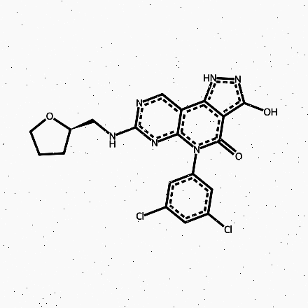 O=c1c2c(O)n[nH]c2c2cnc(NC[C@H]3CCCO3)nc2n1-c1cc(Cl)cc(Cl)c1